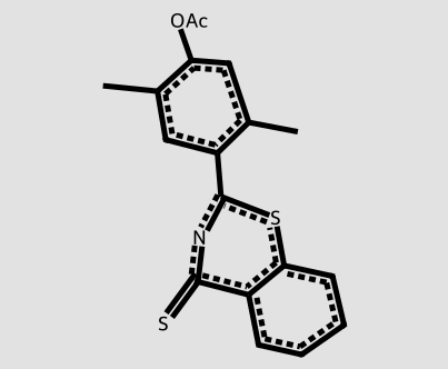 CC(=O)Oc1cc(C)c(-c2nc(=S)c3ccccc3s2)cc1C